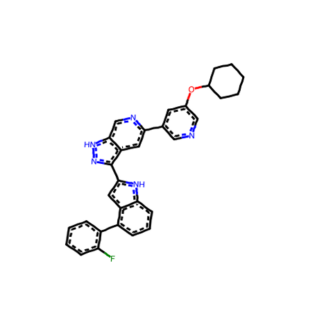 Fc1ccccc1-c1cccc2[nH]c(-c3n[nH]c4cnc(-c5cncc(OC6CCCCC6)c5)cc34)cc12